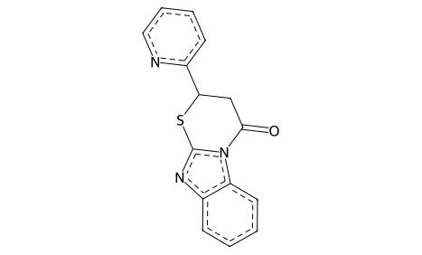 O=C1CC(c2ccccn2)Sc2nc3ccccc3n21